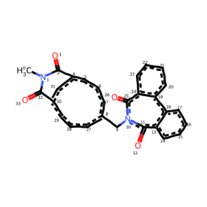 CN1C(=O)c2cccc(Cn3c(=O)c4ccccc4c4ccccc4c3=O)cccc(c2)C1=O